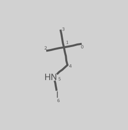 CC(C)(C)CNI